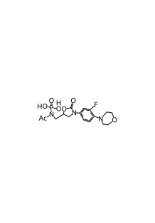 CC(=O)N(CC1CN(c2ccc(N3CCOCC3)c(F)c2)C(=O)O1)P(=O)(O)O